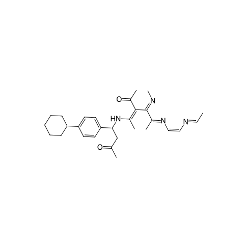 C/C=N/C=C\N=C(C)\C(=N\C)C(\C(C)=O)=C(/C)NC(CC(C)=O)c1ccc(C2CCCCC2)cc1